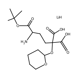 CC(C)(C)OC(=O)C(N)CCC(OC1CCCCO1)(C(=O)O)C(=O)O.[LiH]